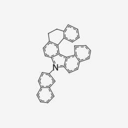 c1ccc2c(c1)CCc1ccc3c(c1-2)c1c2ccccc2ccc1n3-c1ccc2ccccc2c1